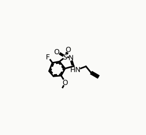 C#CCNC1=NS(=O)(=O)c2c(F)ccc(OC)c21